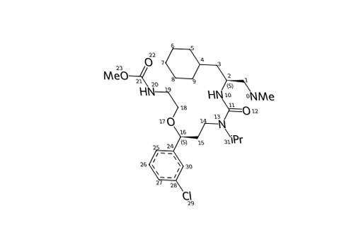 CNC[C@H](CC1CCCCC1)NC(=O)N(CC[C@H](OCCNC(=O)OC)c1cccc(Cl)c1)C(C)C